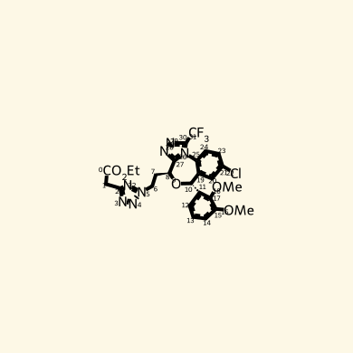 CCOC(=O)Cc1nnn(CC[C@@H]2O[C@@H](c3cccc(OC)c3OC)c3cc(Cl)ccc3-n3c2nnc3C(F)(F)F)n1